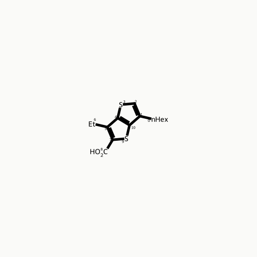 CCCCCCc1csc2c(CC)c(C(=O)O)sc12